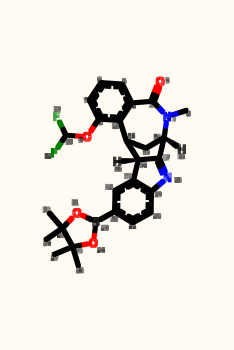 CN1C(=O)c2cccc(OC(F)F)c2C2C[C@H]1C1=Nc3ccc(B4OC(C)(C)C(C)(C)O4)cc3[C@@H]12